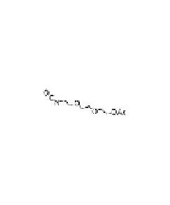 CC(=O)OCCOCCOCCN=C=O